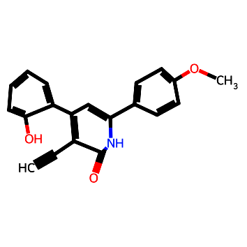 C#Cc1c(-c2ccccc2O)cc(-c2ccc(OC)cc2)[nH]c1=O